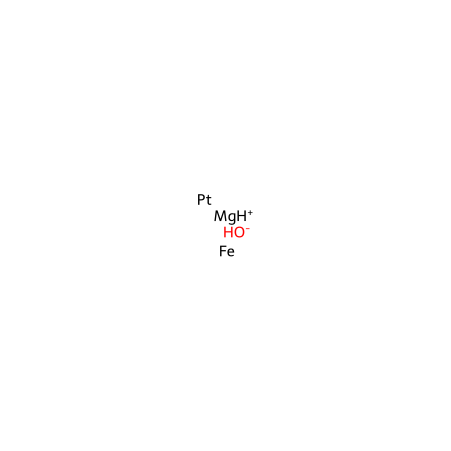 [Fe].[MgH+].[OH-].[Pt]